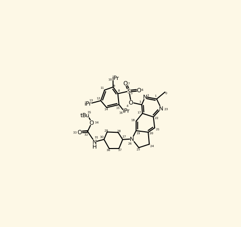 Cc1nc(OS(=O)(=O)c2c(C(C)C)cc(C(C)C)cc2C(C)C)c2cc3c(cc2n1)CCN3C1CCC(NC(=O)OC(C)(C)C)CC1